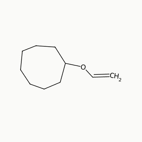 C=COC1CCCCCCC1